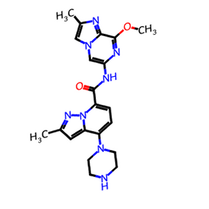 COc1nc(NC(=O)c2ccc(N3CCNCC3)c3cc(C)nn23)cn2cc(C)nc12